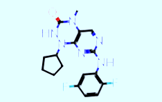 CN1C(=O)NN(C2CCCC2)c2nc(Nc3cc(F)ccc3F)ncc21